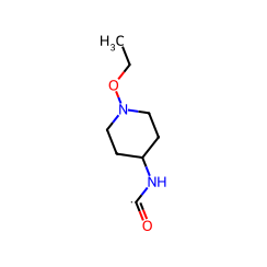 CCON1CCC(N[C]=O)CC1